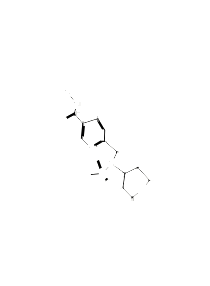 CS(=O)(=O)N(Cc1ccc(C(=O)NN)cn1)C1CCCCC1